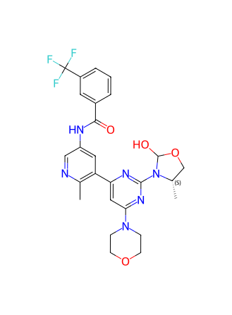 Cc1ncc(NC(=O)c2cccc(C(F)(F)F)c2)cc1-c1cc(N2CCOCC2)nc(N2C(O)OC[C@@H]2C)n1